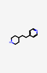 c1cc(CCC2CCNCC2)ccn1